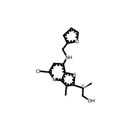 Cc1c([C@@H](C)CO)sc2c(NCc3ccco3)cc(Cl)nc12